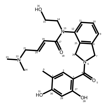 Cc1cc(C(=O)N2Cc3cccc(N(CCO)C(=O)/C=C/CN(C)C)c3C2)c(O)cc1O